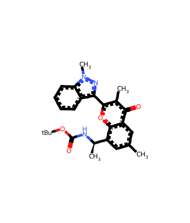 Cc1cc([C@@H](C)NC(=O)OC(C)(C)C)c2oc(-c3nn(C)c4ccccc34)c(C)c(=O)c2c1